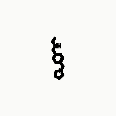 CCNCC1=CC=C(CN2CCCC2)CC1